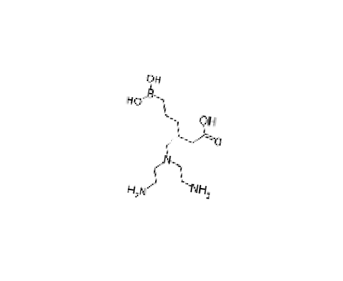 NCCN(CCN)C[C@H](CCCB(O)O)CC(=O)O